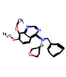 COc1ccc2c(N(Cc3ccccc3)[C@@H]3CCOC3)ncnc2c1OC